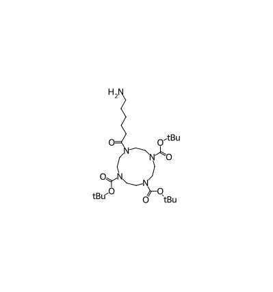 CC(C)(C)OC(=O)N1CCN(C(=O)CCCCCN)CCN(C(=O)OC(C)(C)C)CCN(C(=O)OC(C)(C)C)CC1